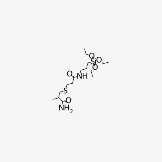 CCO[Si](CCCNC(=O)CCSCC(C)C(N)=O)(OCC)OCC